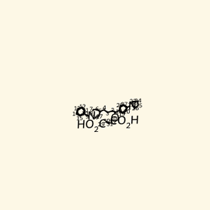 O=C(CCCC1CCN(Cc2ccccc2)CC1)c1ccc(N2CCCC2)cc1.O=C(O)C=CC(=O)O